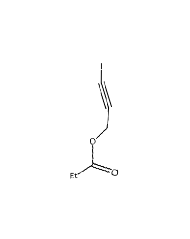 CCC(=O)OCC#CI